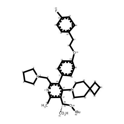 Cc1nc(CN2CCCC2)c(-c2ccc(OCCc3ccc(F)cc3)cc2)c(N2CCC3(CCC3)CC2)c1[C@H](OC(C)(C)C)C(=O)O